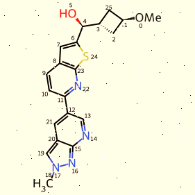 CO[C@H]1C[C@H]([C@H](O)c2cc3ccc(-c4cnc5nn(C)cc5c4)nc3s2)C1